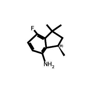 C[C@@H]1CC(C)(C)c2c(F)ccc(N)c21